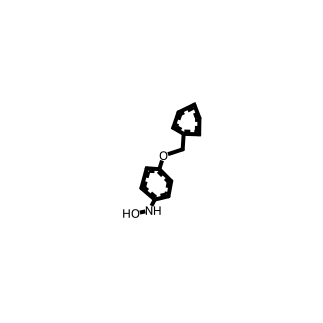 ONc1ccc(OCc2ccccc2)cc1